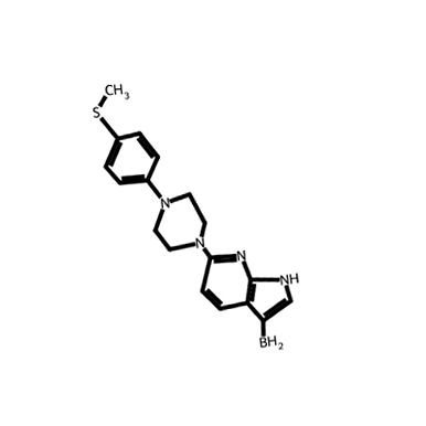 Bc1c[nH]c2nc(N3CCN(c4ccc(SC)cc4)CC3)ccc12